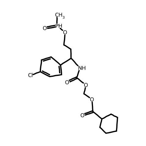 C[PH](=O)OCCC(NC(=O)OCOC(=O)C1CCCCC1)c1ccc(Cl)cc1